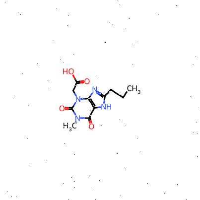 CCCc1nc2c([nH]1)c(=O)n(C)c(=O)n2CC(=O)O